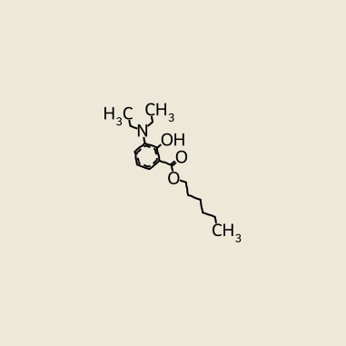 CCCCCCOC(=O)c1cccc(N(CC)CC)c1O